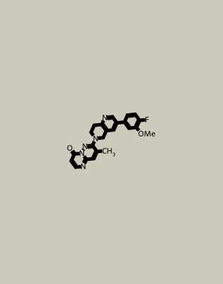 COc1cc(-c2cnc3c(c2)CN(c2nn4c(=O)ccnc4cc2C)CC3)ccc1F